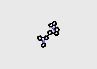 Brc1cccc2cccc(N3c4ccc(-c5ccc6c(c5)c5ccccc5n6-c5ccccc5)cc4-c4cccc5cccc3c45)c12